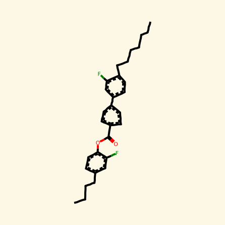 CCCCCCCc1ccc(-c2ccc(C(=O)Oc3ccc(CCCC)cc3F)cc2)cc1F